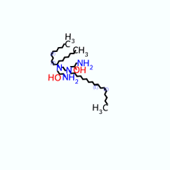 CCCCC/C=C\C/C=C\C(CCCCCCC)N(CCN(CCCCCCCC/C=C/C/C=C\CCCCC)CC(O)CN)CC(O)CN